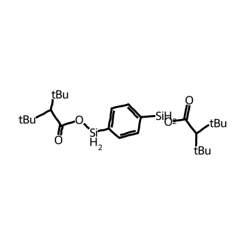 CC(C)(C)C(C(=O)O[SiH2]c1ccc([SiH2]OC(=O)C(C(C)(C)C)C(C)(C)C)cc1)C(C)(C)C